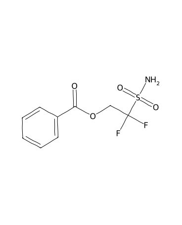 NS(=O)(=O)C(F)(F)COC(=O)c1ccccc1